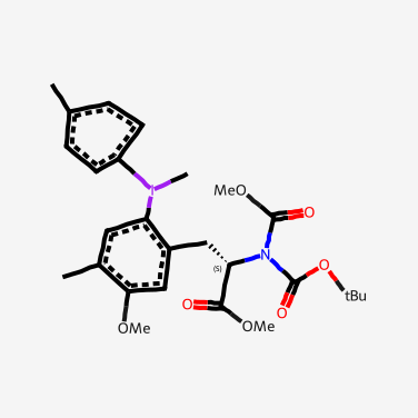 COC(=O)[C@H](Cc1cc(OC)c(C)cc1I(C)c1ccc(C)cc1)N(C(=O)OC)C(=O)OC(C)(C)C